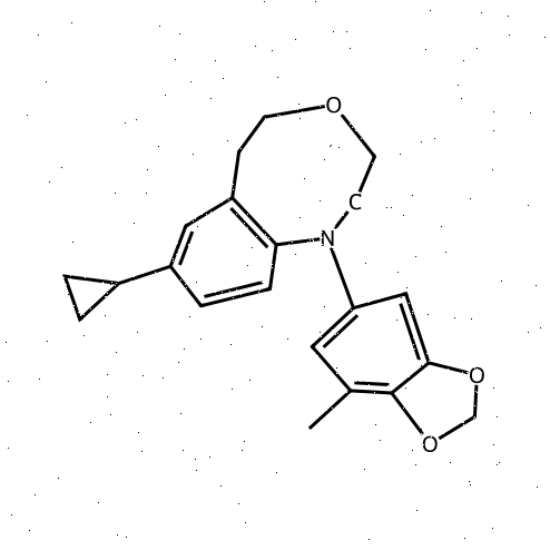 Cc1cc(N2CCOCCc3cc(C4CC4)ccc32)cc2c1OCO2